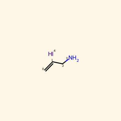 C=CCN.I